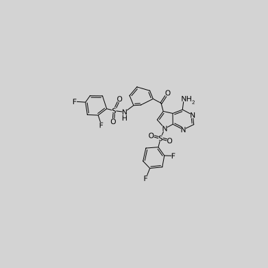 Nc1ncnc2c1c(C(=O)c1cccc(NS(=O)(=O)c3ccc(F)cc3F)c1)cn2S(=O)(=O)c1ccc(F)cc1F